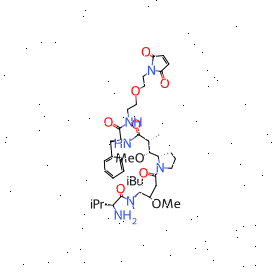 CC[C@H](C)[C@@H]([C@H](CC(=O)N1CCC[C@H]1[C@H](OC)[C@@H](C)C(=O)N[C@@H](Cc1ccccc1)C(=O)NCCOCCN1C(=O)C=CC1=O)OC)N(C)C(=O)[C@@H](N)C(C)C